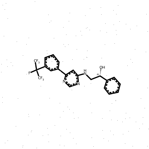 O[C@@H](CNc1cc(-c2cccc(C(F)(C(F)(F)F)C(F)(F)F)c2)ncn1)c1ccccc1